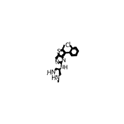 CN/C=C(\C=N)Nc1ncc2sc(C)c(-c3ccccc3Cl)c2n1